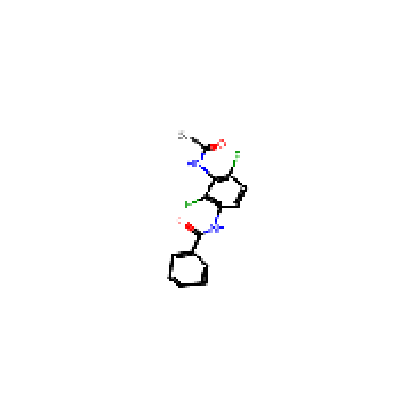 CCC(C)C(=O)Nc1c(F)ccc(NC(=O)c2ccccc2)c1F